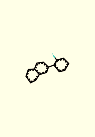 Fc1ccccc1-c1ccc2cc[c]cc2c1